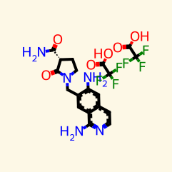 NC(=O)[C@@H]1CCN(Cc2cc3c(N)nccc3cc2N)C1=O.O=C(O)C(F)(F)F.O=C(O)C(F)(F)F